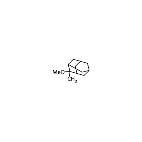 COC1(C)C2CC3CC(C2)CC1C3